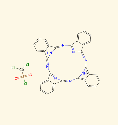 O=[S](=O)(Cl)[Co]([Cl])[Cl].c1ccc2c(c1)-c1nc-2nc2[nH]c(nc3nc(nc4[nH]c(n1)c1ccccc41)-c1ccccc1-3)c1ccccc21